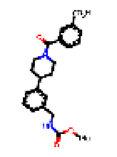 CC(C)(C)OC(=O)NCc1cccc(C2CCN(C(=O)c3cccc(C(=O)O)c3)CC2)c1